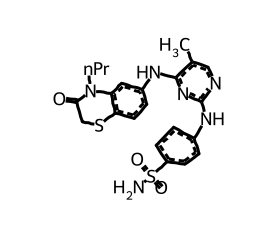 CCCN1C(=O)CSc2ccc(Nc3nc(Nc4ccc(S(N)(=O)=O)cc4)ncc3C)cc21